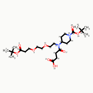 CC(C)(C)OC(=O)CCOCCOCCN(C(=O)CCC(=O)O)C1CCN(C(=O)OC(C)(C)C)CC1